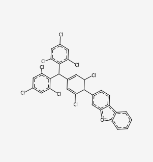 ClC1=CC(C(c2c(Cl)cc(Cl)cc2Cl)c2c(Cl)cc(Cl)cc2Cl)=CC(Cl)C1c1ccc2c(c1)oc1ccccc12